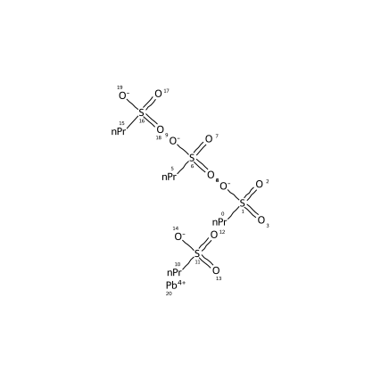 CCCS(=O)(=O)[O-].CCCS(=O)(=O)[O-].CCCS(=O)(=O)[O-].CCCS(=O)(=O)[O-].[Pb+4]